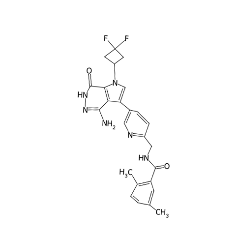 Cc1ccc(C)c(C(=O)NCc2ccc(-c3cn(C4CC(F)(F)C4)c4c(=O)[nH]nc(N)c34)cn2)c1